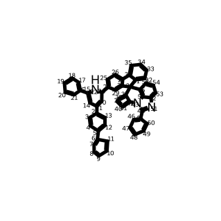 C1=C(c2ccc(-c3ccccc3)cc2)C=C(c2ccccc2)NC1c1ccc2c(c1)C1(c3ccccc3-2)c2ccccc2-n2c(-c3ccccc3)nc3cccc1c32